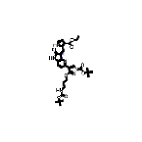 CCOC(=O)c1cc[nH]c1/C=C1\C(=O)Nc2ccc(-c3cn(C(=O)OC(C)(C)C)nc3OCCCNC(=O)OC(C)(C)C)nc21